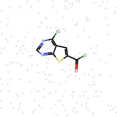 O=C(Cl)c1cc2c(Cl)ncnc2s1